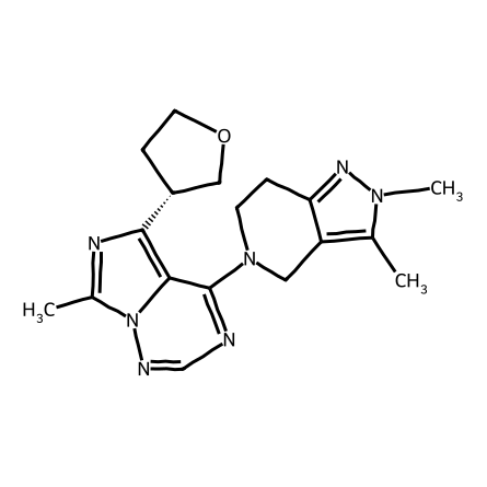 Cc1c2c(nn1C)CCN(c1ncnn3c(C)nc([C@@H]4CCOC4)c13)C2